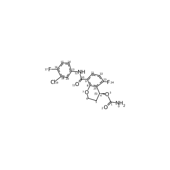 NC(=O)O[C@H]1CCOc2c(C(=O)Nc3ccc(F)c(Cl)c3)ccc(F)c21